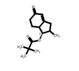 CC1CC2=CC(=O)CCC2[C@@H]1OC(=O)C(C)(C)C